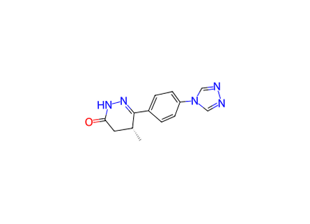 C[C@@H]1CC(=O)NN=C1c1ccc(-n2cnnc2)cc1